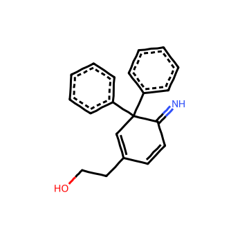 N=C1C=CC(CCO)=CC1(c1ccccc1)c1ccccc1